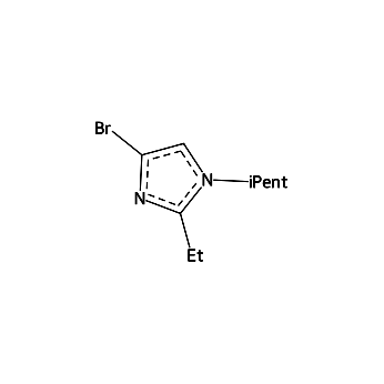 CCCC(C)n1cc(Br)nc1CC